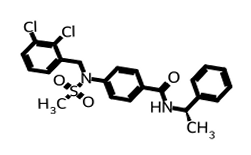 C[C@@H](NC(=O)c1ccc(N(Cc2cccc(Cl)c2Cl)S(C)(=O)=O)cc1)c1ccccc1